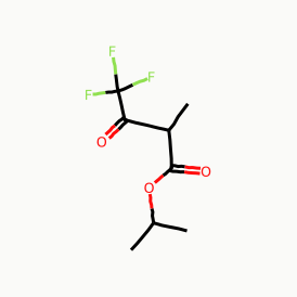 CC(C)OC(=O)C(C)C(=O)C(F)(F)F